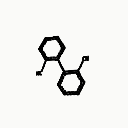 N#Cc1ccccc1-c1ccccc1C#N